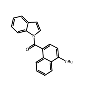 CCCCc1ccc(C(=O)n2ccc3ccccc32)c2ccccc12